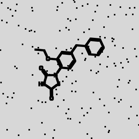 CCOc1cc(Cc2ccccc2)ccc1-n1sc(=O)[nH]c1=O